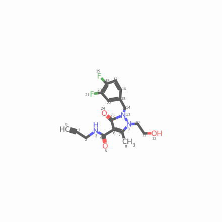 C#CCNC(=O)c1c(C)n(CCO)n(Cc2ccc(F)c(F)c2)c1=O